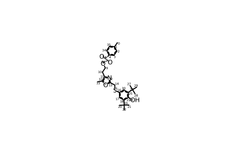 Cc1ccc(S(=O)(=O)OCCc2nc(CSc3cc(C(C)(C)C)c(O)c(C(C)(C)C)c3)oc2C)cc1